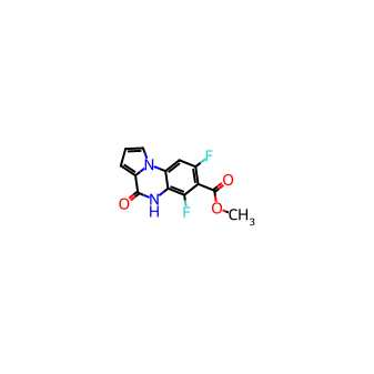 COC(=O)c1c(F)cc2c([nH]c(=O)c3cccn32)c1F